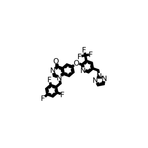 O=c1ncn(Cc2c(F)cc(F)cc2F)c2ccc(Oc3ncc(Cn4nccn4)cc3C(F)(F)F)cc12